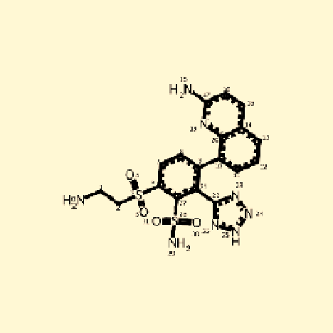 NCCS(=O)(=O)c1ccc(-c2cccc3ccc(N)nc23)c(-c2nn[nH]n2)c1S(N)(=O)=O